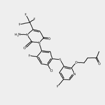 CC(=O)CCOc1ncc(F)cc1Sc1cc(-n2c(=O)cc(C(F)(F)F)n(N)c2=O)c(F)cc1Cl